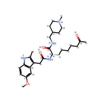 COc1ccc2[nH]c(C)c(CC(=O)N[C@@H](CCCCCC(C)=O)C(=O)NCC3CCN(C)CC3)c2c1